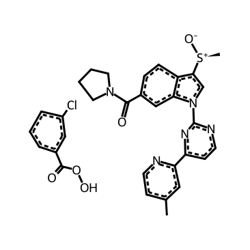 Cc1ccnc(-c2ccnc(-n3cc([S@+](C)[O-])c4ccc(C(=O)N5CCCC5)cc43)n2)c1.O=C(OO)c1cccc(Cl)c1